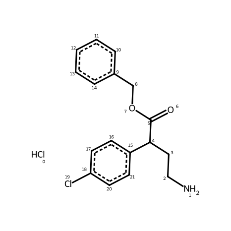 Cl.NCCC(C(=O)OCc1ccccc1)c1ccc(Cl)cc1